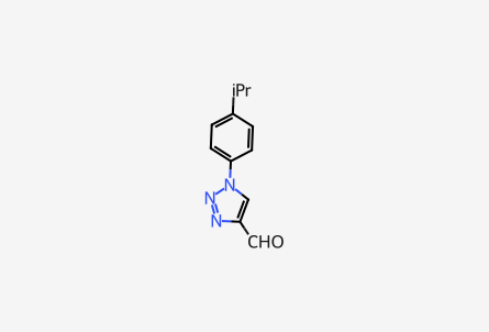 CC(C)c1ccc(-n2cc(C=O)nn2)cc1